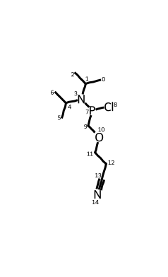 CC(C)N(C(C)C)P(Cl)COCCC#N